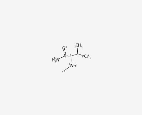 CC(C)[C@H](NI)C(N)=O